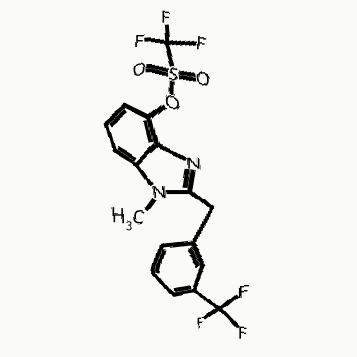 Cn1c(Cc2cccc(C(F)(F)F)c2)nc2c(OS(=O)(=O)C(F)(F)F)cccc21